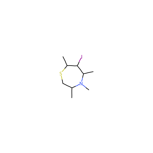 CC1SCC(C)N(C)C(C)C1I